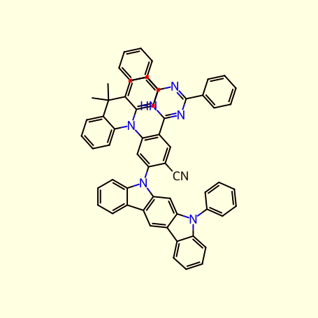 CC1(C)c2ccccc2N(c2cc(-n3c4ccccc4c4cc5c6ccccc6n(-c6ccccc6)c5cc43)c(C#N)cc2C2=NC(c3ccccc3)=NC(c3ccccc3)N2)c2ccccc21